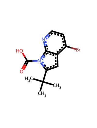 CC(C)(C)c1cc2c(Br)ccnc2n1C(=O)O